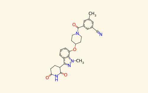 Cc1cc(C#N)cc(C(=O)N2CCC(Oc3cccc4c(C5CCC(=O)NC5=O)nn(C)c34)CC2)c1